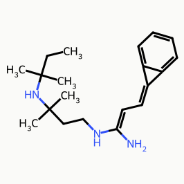 CCC(C)(C)NC(C)(C)CCN/C(N)=C/C=C1c2ccccc21